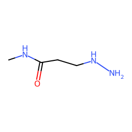 CNC(=O)CCNN